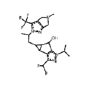 CC(C)n1nc(C(F)F)c2c1C(O)C1C(CC(C)n3nc4c(c3C(F)(F)F)CN(C)C4)C21